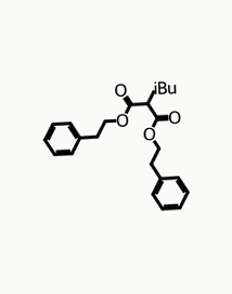 CCC(C)C(C(=O)OCCc1ccccc1)C(=O)OCCc1ccccc1